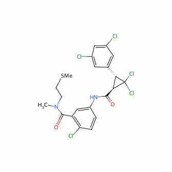 CSCCN(C)C(=O)c1cc(NC(=O)[C@H]2[C@H](c3cc(Cl)cc(Cl)c3)C2(Cl)Cl)ccc1Cl